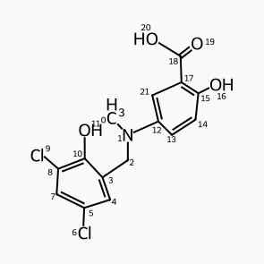 CN(Cc1cc(Cl)cc(Cl)c1O)c1ccc(O)c(C(=O)O)c1